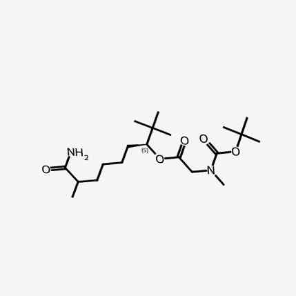 CC(CCCC[C@H](OC(=O)CN(C)C(=O)OC(C)(C)C)C(C)(C)C)C(N)=O